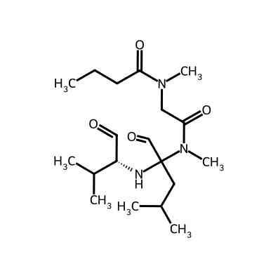 CCCC(=O)N(C)CC(=O)N(C)C(C=O)(CC(C)C)N[C@@H](C=O)C(C)C